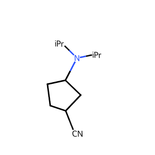 CC(C)N(C(C)C)C1CCC(C#N)C1